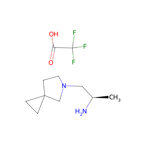 C[C@@H](N)CN1CCC2(CC2)C1.O=C(O)C(F)(F)F